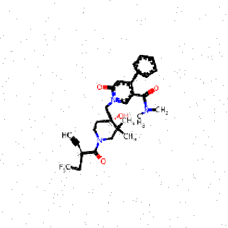 C#C[C@H](CC(F)(F)F)C(=O)N1CC[C@@](O)(Cn2cc(C(=O)N(C)C)c(-c3ccccc3)cc2=O)C(C)(C)C1